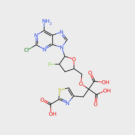 Nc1nc(Cl)nc2c1ncn2C1OC(COC(Cc2csc(C(=O)O)n2)(C(=O)O)C(=O)O)CC1F